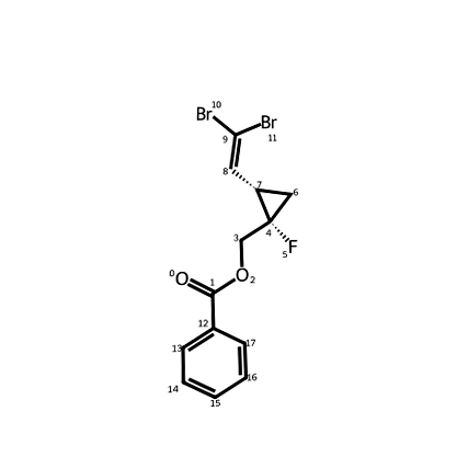 O=C(OC[C@]1(F)C[C@H]1C=C(Br)Br)c1ccccc1